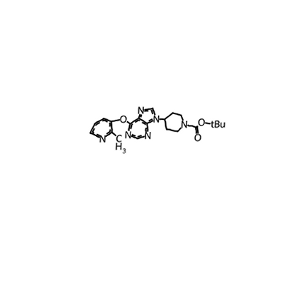 Cc1ncccc1Oc1ncnc2c1ncn2C1CCN(C(=O)OC(C)(C)C)CC1